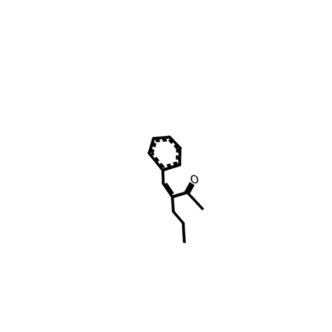 CCC/C(=C/c1ccccc1)C(C)=O